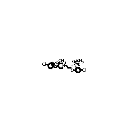 CC1(C)CN(CCCOc2ccc(Cl)cc2NS(C)(=O)=O)CCC1(O)Cc1ccc(Cl)cc1